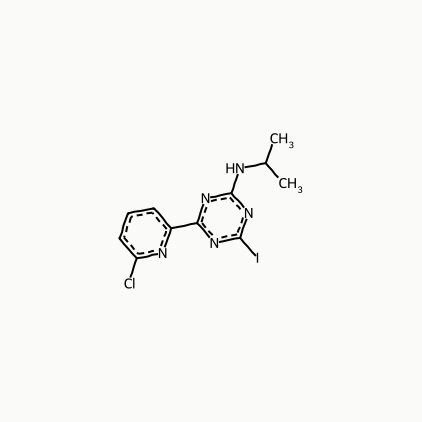 CC(C)Nc1nc(I)nc(-c2cccc(Cl)n2)n1